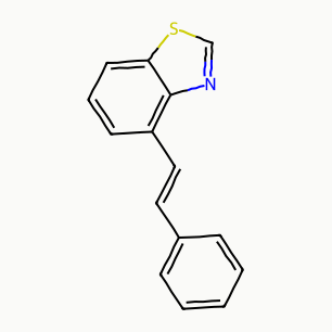 C(=Cc1cccc2scnc12)c1ccccc1